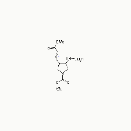 COC(=O)/C=C/C1CN(C(=O)OC(C)(C)C)CC1NC(=O)O